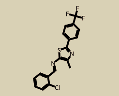 Cc1nc(-c2ccc(C(F)(F)F)cc2)sc1/N=C/c1ccccc1Cl